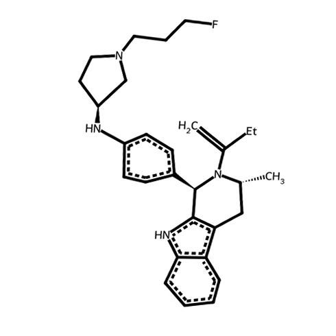 C=C(CC)N1[C@H](c2ccc(N[C@H]3CCN(CCCF)C3)cc2)c2[nH]c3ccccc3c2C[C@H]1C